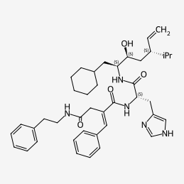 C=C[C@@H](C[C@H](O)[C@H](CC1CCCCC1)NC(=O)[C@H](Cc1c[nH]cn1)NC(=O)C(=Cc1ccccc1)CC(=O)NCCc1ccccc1)C(C)C